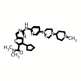 CN1CCC(N2CCN(c3ccc(Nc4ncc5sc(C(=O)N(C)C)c(C6CCCC6)c5n4)nc3)CC2)CC1